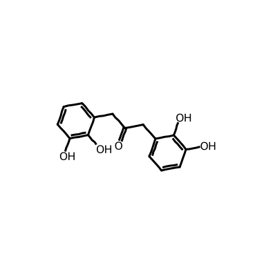 O=C(Cc1cccc(O)c1O)Cc1cccc(O)c1O